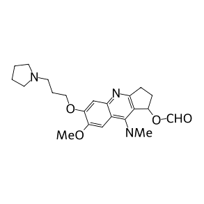 CNc1c2c(nc3cc(OCCCN4CCCC4)c(OC)cc13)CCC2OC=O